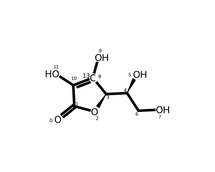 O=C1O[C@H]([C@@H](O)CO)[13C](O)=C1O